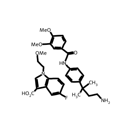 COCCn1cc(C(=O)O)c2cc(F)ccc21.COc1ccc(C(=O)Nc2ccc(C(C)(C)CCN)cc2)cc1OC